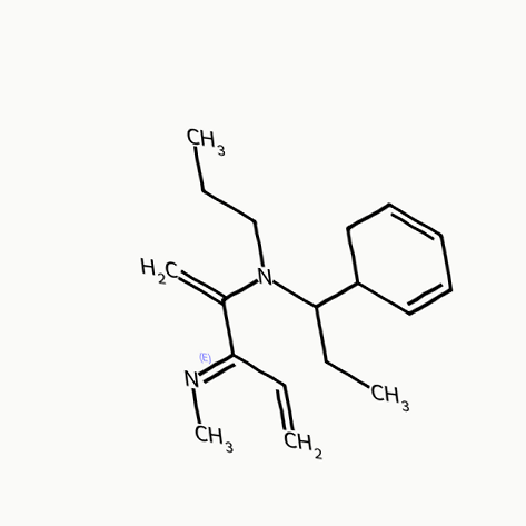 C=C/C(=N\C)C(=C)N(CCC)C(CC)C1C=CC=CC1